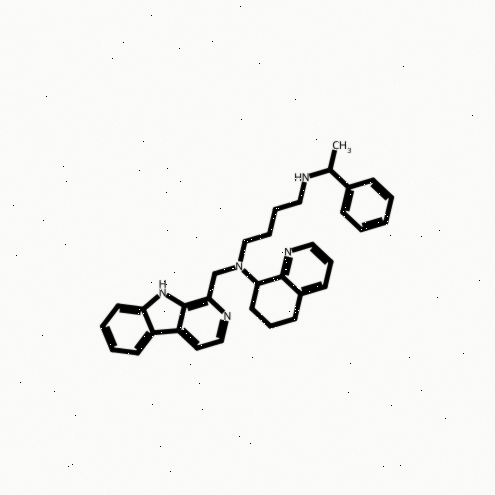 CC(NCCCCN(Cc1nccc2c1[nH]c1ccccc12)C1CCCc2cccnc21)c1ccccc1